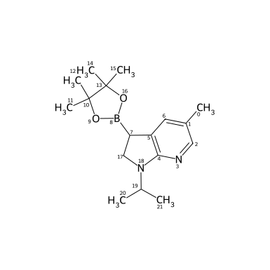 Cc1cnc2c(c1)C(B1OC(C)(C)C(C)(C)O1)CN2C(C)C